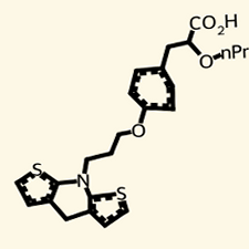 CCCOC(Cc1ccc(OCCCN2c3sccc3Cc3ccsc32)cc1)C(=O)O